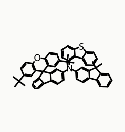 CC(C)(C)c1ccc2c(c1)C1(c3cc(C(C)(C)C)ccc3O2)c2ccccc2-c2ccc(N(c3ccc4c(c3)C(C)(C)c3ccccc3-4)c3cccc4sc5ccccc5c34)cc21